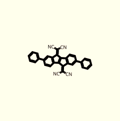 N#CC(C#N)=C1C2=C(C(=C(C#N)C#N)c3cc(-c4ccccc4)ccc32)c2ccc(-c3ccccc3)cc21